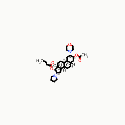 CCCC(=O)O[C@H]1[C@@H](N2CCCC2)C[C@H]2[C@@H]3CC[C@H]4C[C@H](OC(C)=O)[C@@H](N5CCOCC5)C[C@]4(C)[C@H]3CC[C@@]21C